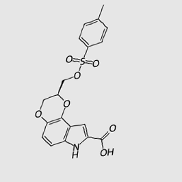 Cc1ccc(S(=O)(=O)OC[C@@H]2COc3ccc4[nH]c(C(=O)O)cc4c3O2)cc1